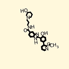 COc1ncccc1-c1ccc(O)c(-c2nc3cc(C(=O)NCCCN4CCCC(O)C4)ccc3[nH]2)c1